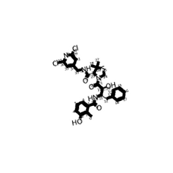 Cc1c(O)cccc1C(=O)N[C@@H](Cc1ccccc1)[C@H](O)C(=O)N1CSC(C)(C)[C@H]1C(=O)NCc1cc(Cl)nc(Cl)c1